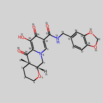 C[C@]12CCCO[C@H]1Cn1cc(C(=O)NCc3ccc4c(c3)OCO4)c(=O)c(O)c1C2=O